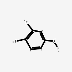 FOc1ccc(F)c(F)c1